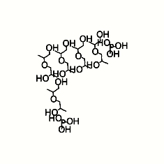 CC(O)COC(C)CO.CC(O)COC(C)CO.CC(O)COC(C)CO.CC(O)COC(C)CO.CC(O)COC(C)CO.OP(O)O.OP(O)O